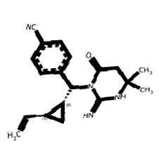 C=C[C@@H]1C[C@H]1C(c1ccc(C#N)cc1)N1C(=N)NC(C)(C)CC1=O